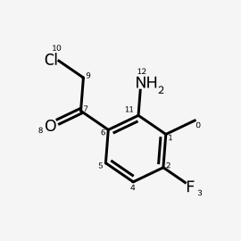 Cc1c(F)ccc(C(=O)CCl)c1N